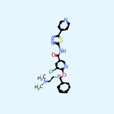 CN(C)CC[C@H](Oc1ncc(C(=O)Nc2nnc(-c3ccncc3)s2)cc1Cl)c1ccccc1